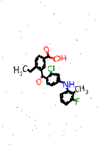 CCc1ccc(C(=O)O)cc1C(=O)c1ccc(Nc2cccc(F)c2C)cc1Cl